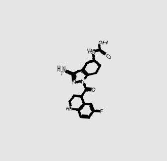 Nc1nn(C(=O)C2CCNc3ccc(F)cc32)c2c1CC(NC(=O)O)CC2